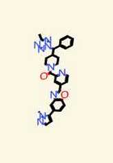 Cc1nnn(C(c2ccccc2)C2CCN(C(=O)c3cc(-c4nc5cc(-c6ccnn6C)ccc5o4)ccn3)CC2)n1